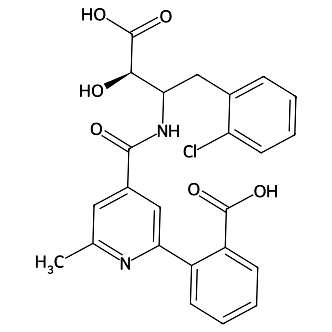 Cc1cc(C(=O)NC(Cc2ccccc2Cl)[C@@H](O)C(=O)O)cc(-c2ccccc2C(=O)O)n1